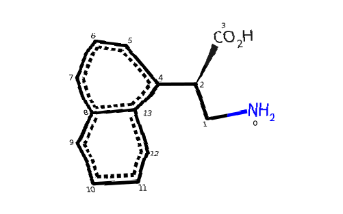 NC[C@H](C(=O)O)c1cccc2ccccc12